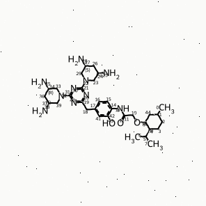 CC1CC[C@@H](C(C)C)[C@@H](OCC(=O)Nc2ccc(Cc3nc(N4C[C@H](N)C[C@H](N)C4)nc(N4C[C@H](N)C[C@H](N)C4)n3)cc2O)C1